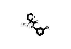 O=C(O)C1(C(=O)Nc2cccc(Br)c2)CCCO1